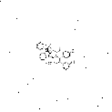 CCC(CO[Si](c1ccccc1)(c1ccccc1)C(C)(C)C)N1C(=O)C(O)CC(c2cccc(Cl)c2)[C@H]1c1ccc(Cl)cc1